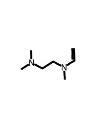 C=CN(C)CCN(C)C